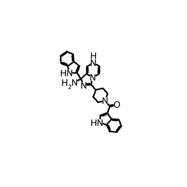 NC1(c2cc3ccccc3[nH]2)N=C(C2CCN(C(=O)c3c[nH]c4ccccc34)CC2)N2C=CNC=C21